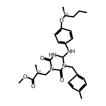 CCC[C@H](C)Oc1ccc(NC2NC(=O)N(C[C@H](C)C(=O)OC)C(=O)N2Cc2ccc(C)cc2)cc1